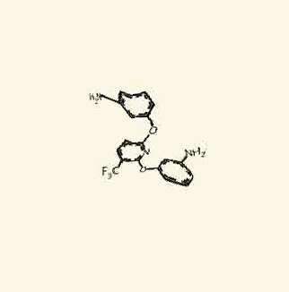 Nc1cccc(Oc2ccc(C(F)(F)F)c(Oc3cccc(N)c3)n2)c1